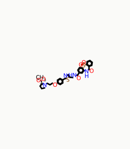 COC(=O)[C@@H]1CCCN1CCCOc1ccc(-c2ncc(CNC(=O)c3ccc4c(c3)NC(=O)c3ccccc3S4(=O)=O)s2)cc1